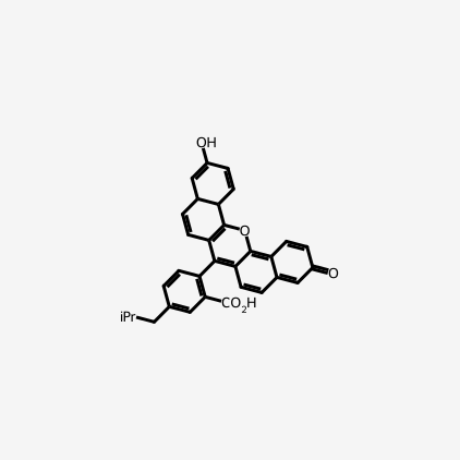 CC(C)Cc1ccc(-c2c3c(oc4c2ccc2cc(=O)ccc24)C2C=CC(O)=CC2C=C3)c(C(=O)O)c1